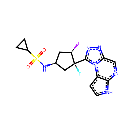 O=S(=O)(N[C@H]1C[C@@H](I)[C@](F)(c2nnc3cnc4[nH]ccc4n23)C1)C1CC1